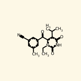 CCn1c(C(=O)c2cc(C)cc(C#N)c2)c(C(C)C)c(=O)[nH]c1=O